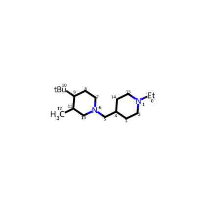 CCN1CCC(CN2CCC(C(C)(C)C)C(C)C2)CC1